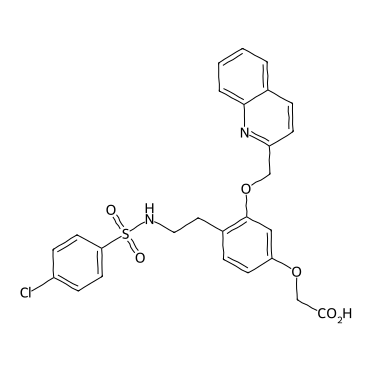 O=C(O)COc1ccc(CCNS(=O)(=O)c2ccc(Cl)cc2)c(OCc2ccc3ccccc3n2)c1